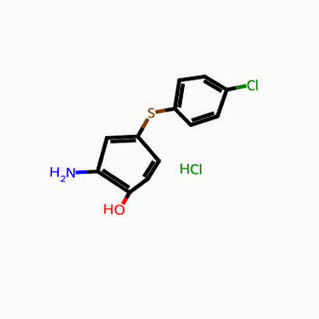 Cl.Nc1cc(Sc2ccc(Cl)cc2)ccc1O